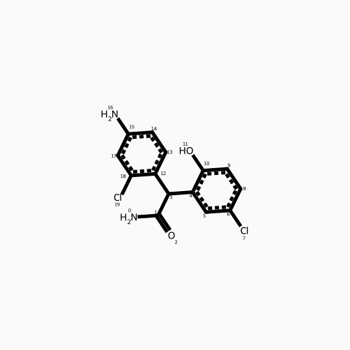 NC(=O)C(c1cc(Cl)ccc1O)c1ccc(N)cc1Cl